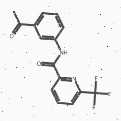 CC(=O)c1cccc(NC(=O)c2cccc(C(F)(F)F)n2)c1